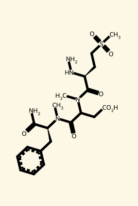 CN(C(=O)[C@H](CCS(C)(=O)=O)NN)C(CC(=O)O)C(=O)N(C)[C@@H](Cc1ccccc1)C(N)=O